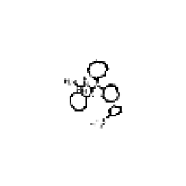 N=C(N)NC(=NC1CCCCCCC1)N(C1CCCCCCC1)C1CCCCCCC1.O=S(=O)(O)c1ccccc1